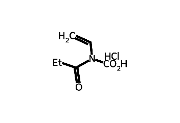 C=CN(C(=O)O)C(=O)CC.Cl